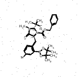 CN1C(=O)[C@H](Cc2ccc(Br)cc2B2OC(C)(C)C(C)(C)O2)N(C(=O)OCc2ccccc2)[C@H]1C(C)(C)C